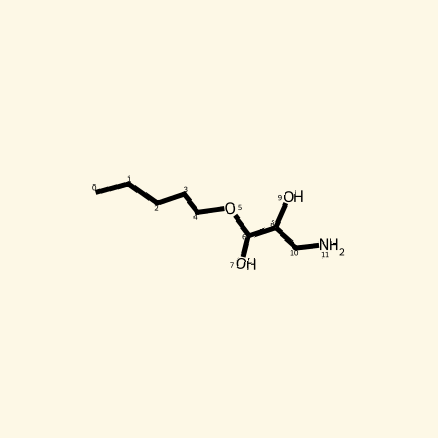 CCCCCOC(O)C(O)CN